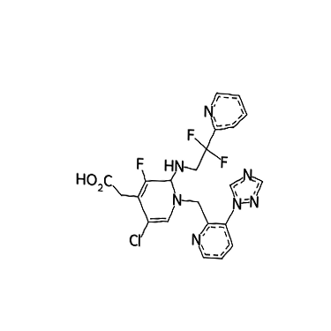 O=C(O)CC1=C(F)C(NCC(F)(F)c2ccccn2)N(Cc2ncccc2-n2cncn2)C=C1Cl